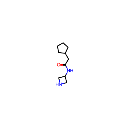 O=C(CC1CCCC1)NC1CNC1